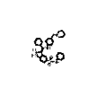 O=C1Nc2ccc(S(=O)(=O)Nc3ccccc3)cc2C1=C(Nc1ccc(CN2CCCCC2)cc1)c1ccccc1